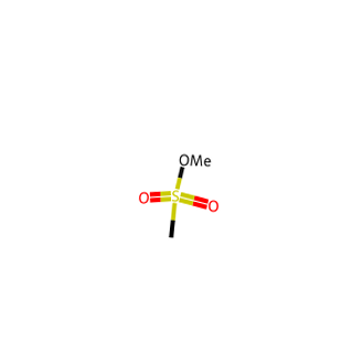 [CH]OS(C)(=O)=O